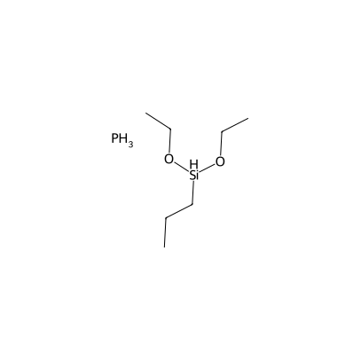 CCC[SiH](OCC)OCC.P